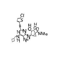 CNC(=O)C12CC1[C@@H](n1cnc3c(NCC4CCC4)nc(C#Cc4ccc(Cl)s4)nc31)[C@H](O)[C@@H]2O